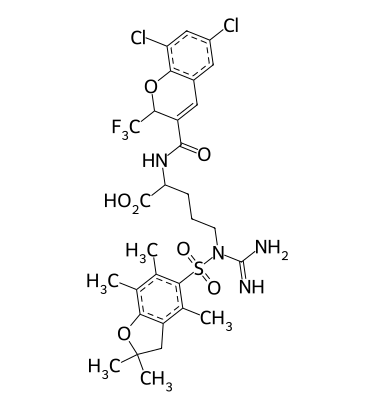 Cc1c(C)c(S(=O)(=O)N(CCCC(NC(=O)C2=Cc3cc(Cl)cc(Cl)c3OC2C(F)(F)F)C(=O)O)C(=N)N)c(C)c2c1OC(C)(C)C2